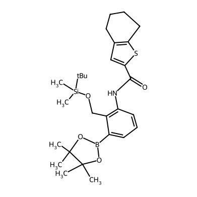 CC1(C)OB(c2cccc(NC(=O)c3cc4c(s3)CCCC4)c2CO[Si](C)(C)C(C)(C)C)OC1(C)C